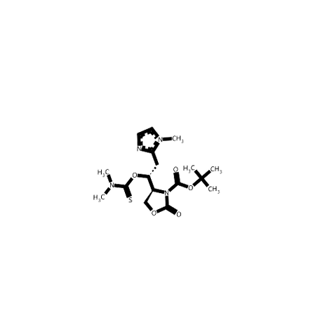 CN(C)C(=S)O[C@H](Cc1nccn1C)[C@@H]1COC(=O)N1C(=O)OC(C)(C)C